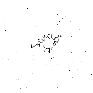 COc1ccc2c(c1)-c1cccc(c1)C(=O)N(C)C(C(=O)N(C)CCN(C)C)CCC(=O)NC(C)CO2